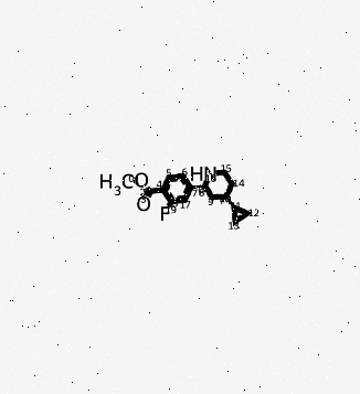 COC(=O)c1ccc([C@@H]2C[C@H](C3CC3)CCN2)cc1F